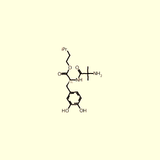 CC(C)CCOC(=O)[C@H](Cc1ccc(O)c(O)c1)NC(=O)C(C)(C)N